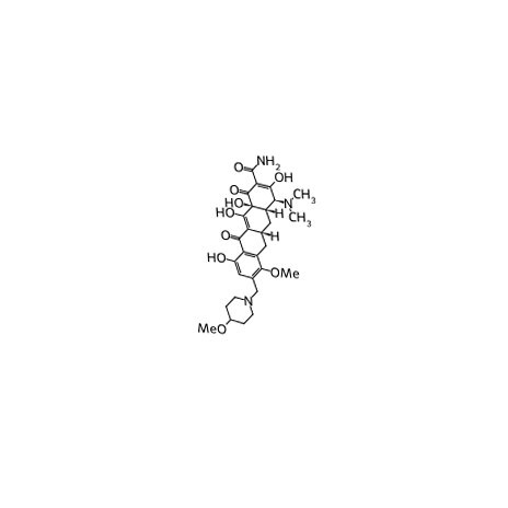 COc1c(CN2CCC(OC)CC2)cc(O)c2c1C[C@H]1C[C@H]3[C@H](N(C)C)C(O)=C(C(N)=O)C(=O)[C@@]3(O)C(O)=C1C2=O